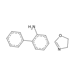 C1=NCCO1.Nc1ccccc1-c1ccccc1